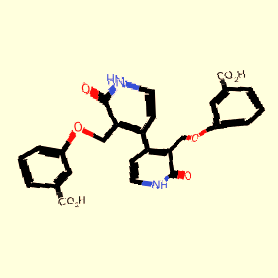 O=C(O)c1cccc(OCc2c(-c3cc[nH]c(=O)c3COc3cccc(C(=O)O)c3)cc[nH]c2=O)c1